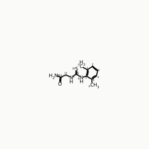 Cc1cccc(C)c1NC(=S)NCC(N)=O